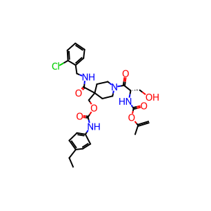 C=C(C)OC(=O)N[C@@H](CO)C(=O)N1CCC(COC(=O)Nc2ccc(CC)cc2)(C(=O)NCc2ccccc2Cl)CC1